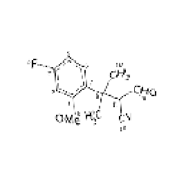 COc1cc(F)ccc1C(C)(C)C(C#N)C=O